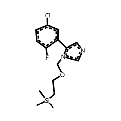 C[Si](C)(C)CCOCn1cncc1-c1cc(Cl)ccc1F